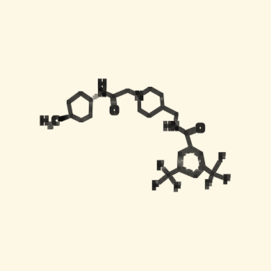 C[C@H]1CC[C@H](NC(=O)CN2CCC(CNC(=O)c3cc(C(F)(F)F)cc(C(F)(F)F)c3)CC2)CC1